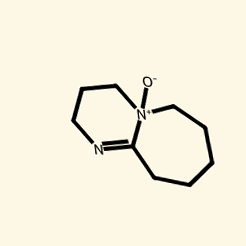 [O-][N+]12CCCCCC1=NCCC2